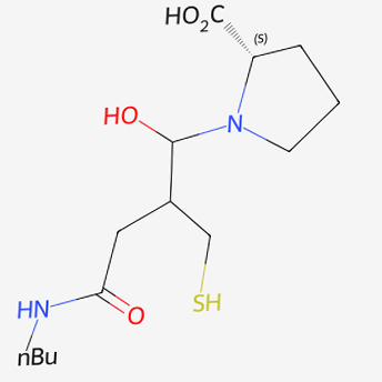 CCCCNC(=O)CC(CS)C(O)N1CCC[C@H]1C(=O)O